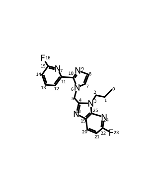 CCCn1c(Cn2ccnc2-c2cccc(F)n2)nc2ccc(F)nc21